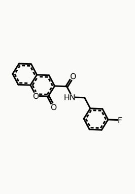 O=C(NCc1cccc(F)c1)c1cc2ccccc2oc1=O